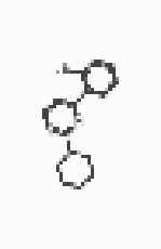 Clc1ccccc1-c1ccnc(C2CCCCC2)n1